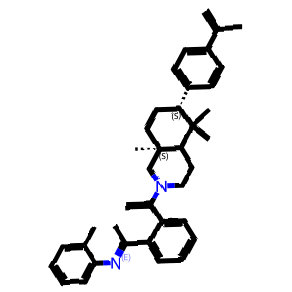 C=C(C)c1ccc([C@H]2CC[C@]3(C)CN(C(=C)c4ccccc4/C(C)=N/c4ccccc4C)CCC3C2(C)C)cc1